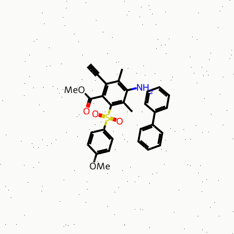 C#Cc1c(C)c(N)c(C)c(S(=O)(=O)c2ccc(OC)cc2)c1C(=O)OC.c1ccc(-c2ccccc2)cc1